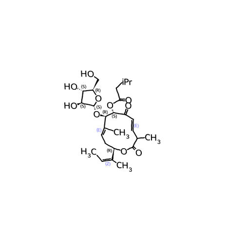 C/C=C(/C)[C@H]1C/C=C(\C)[C@@H](O[C@H]2O[C@H](CO)[C@@H](O)[C@@H]2O)[C@H](OC(=O)CC(C)C)C(=O)/C=C/C(C)C(=O)O1